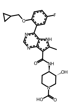 Cc1[nH]c2c(-c3cc(F)ccc3OCC3CC3)ncnc2c1C(=O)N[C@@H]1CCN(C(=O)O)C[C@H]1O